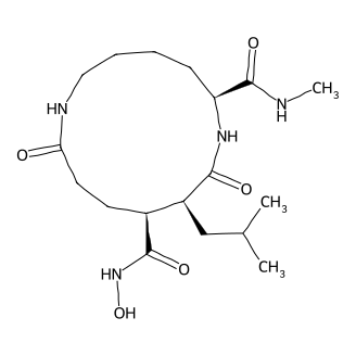 CNC(=O)[C@@H]1CCCCNC(=O)CC[C@H](C(=O)NO)[C@H](CC(C)C)C(=O)N1